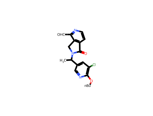 CCCCOc1ncc(C(C)N2Cc3c(ccnc3C=O)C2=O)cc1Cl